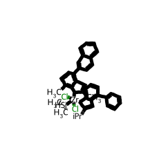 CC1=Cc2c(-c3ccc4ccccc4c3)ccc(C)c2[CH]1[Zr]([Cl])([Cl])([CH]1C(C(C)C)=Cc2c(-c3ccccc3)cccc21)[SiH](C)C